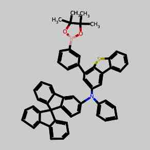 CC1(C)OB(c2cccc(-c3cc(N(c4ccccc4)c4ccc5c(c4)-c4ccccc4C54c5ccccc5-c5ccccc54)cc4c3sc3ccccc34)c2)OC1(C)C